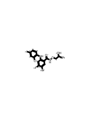 CC(C)C(O)CONC(=O)c1cc(Br)c(F)cc1Nc1ccc(I)cc1Cl